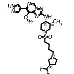 CC(C)Oc1c(-c2cn[nH]c2)ncn2nc(N[C@H]3CCN(S(=O)(=O)CCCCN4CC[C@@H](C(F)F)C4)C[C@H]3C)nc12